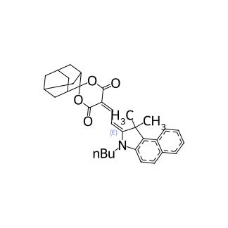 CCCCN1/C(=C/C=C2C(=O)OC3(OC2=O)C2CC4CC(C2)CC3C4)C(C)(C)c2c1ccc1ccccc21